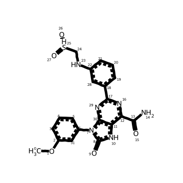 COc1cccc(-n2c(=O)[nH]c3c(C(N)=O)nc(-c4cccc(NC[SH](=O)=O)c4)nc32)c1